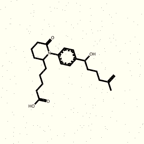 C=C(C)CCCC(O)c1ccc(N2C(=O)CCCC2CCCCC(=O)O)cc1